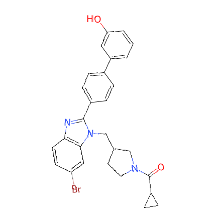 O=C(C1CC1)N1CCC(Cn2c(-c3ccc(-c4cccc(O)c4)cc3)nc3ccc(Br)cc32)C1